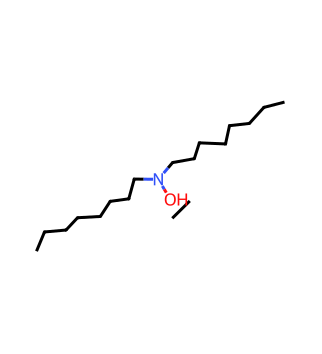 CC.CCCCCCCCN(O)CCCCCCCC